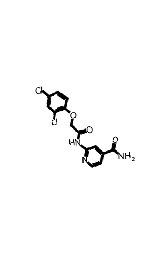 NC(=O)c1ccnc(NC(=O)COc2ccc(Cl)cc2Cl)c1